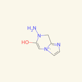 NN1CC2=NC=C[N+]2C=C1O